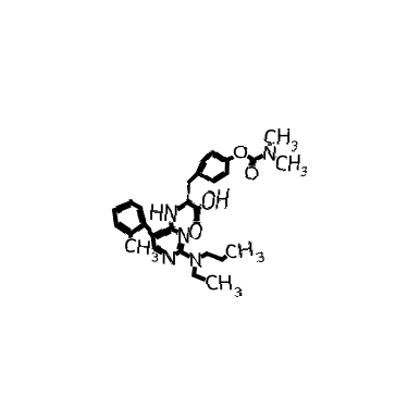 CCCN(CC)c1ncc(-c2ccccc2C)c(N[C@@H](Cc2ccc(OC(=O)N(C)C)cc2)C(=O)O)n1